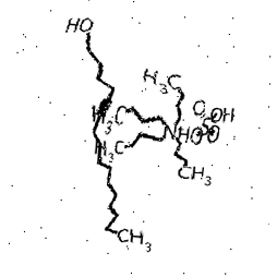 CCCCCCCCCCC#CCCCCCO.CCCC[N+](CCCC)(CCCC)CCCC.O=S(=O)(O)O